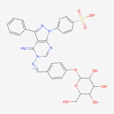 N=c1c2c(-c3ccccc3)nn(-c3ccc(S(=O)(=O)O)cc3)c2ncn1/N=C\c1ccc(OC2OC(CO)C(O)C(O)C2O)cc1